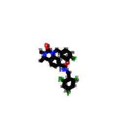 CC1c2ccc(C(=O)NCc3c(F)cc(F)cc3F)cc2N(Cc2ccc(F)cc2)C(=O)N1C